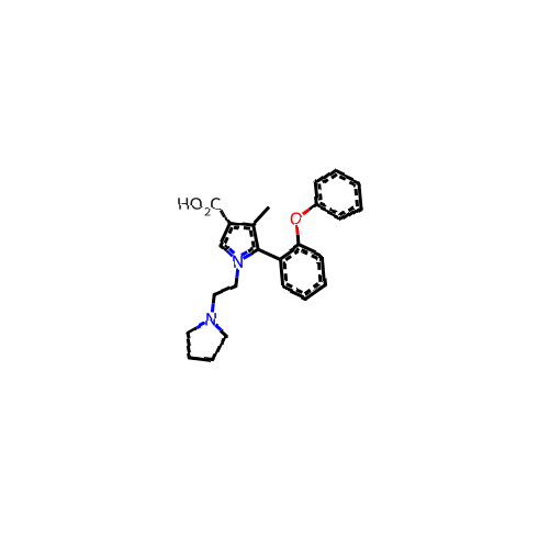 Cc1c(C(=O)O)cn(CCN2CCCC2)c1-c1ccccc1Oc1ccccc1